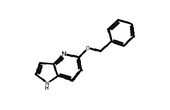 c1ccc(COc2ccc3[nH]ccc3n2)cc1